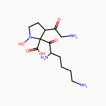 NCCCCC(N)C(=O)C1(C(=O)O)C(C(=O)CN)CCN1O